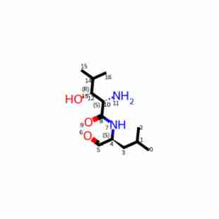 CC(C)C[C@@H]([C]=O)NC(=O)[C@@H](N)[C@H](O)C(C)C